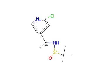 C[C@@H](N[S+]([O-])C(C)(C)C)c1ccnc(Cl)c1